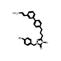 CCn1c(CCCc2ccc(-c3cccc(/C=C/C(=O)O)c3)cc2)nn(Cc2ccc(C(C)(C)C)cc2)c1=O